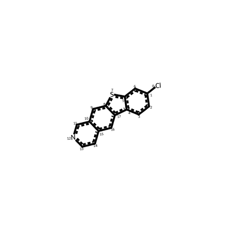 Clc1ccc2c(c1)sc1cc3cnccc3cc12